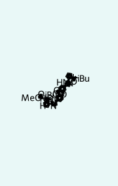 CC[C@H](C)CC(=O)N1CCC[C@H]1C1=NCC(c2ccc3c(c2)Oc2ccc(C4CN=C([C@@H]5CCCN5C(=O)[C@@H](NC(=O)OC)[C@@H](C)CC)N4)cc2S3(=O)=O)N1